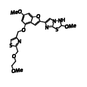 COCCOCc1nc(COc2cc(OC)cc3oc(-c4cn5c(n4)SC(OC)N5)cc23)cs1